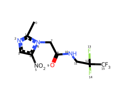 Cc1ncc([N+](=O)[O-])n1CC(=O)NCC(F)(F)C(F)(F)F